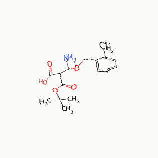 Cc1ccccc1COC(N)C(C(=O)O)C(=O)OC(C)(C)C